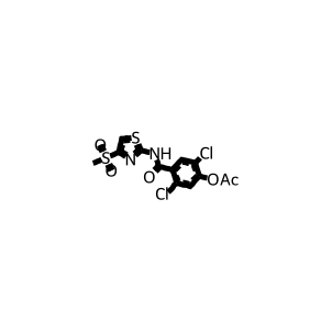 CC(=O)Oc1cc(Cl)c(C(=O)Nc2nc(S(C)(=O)=O)cs2)cc1Cl